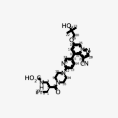 CC(C)C[C@@H](CNC(=O)O)C(=O)N1CCN(c2ccc(-c3cc(OCC(C)(C)O)cn4ncc(C#N)c34)cn2)CC1